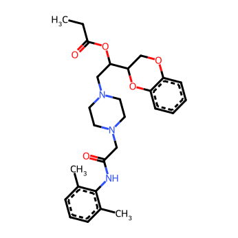 CCC(=O)OC(CN1CCN(CC(=O)Nc2c(C)cccc2C)CC1)C1COc2ccccc2O1